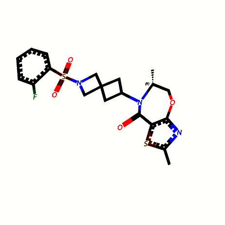 Cc1nc2c(s1)C(=O)N(C1CC3(C1)CN(S(=O)(=O)c1ccccc1F)C3)[C@H](C)CO2